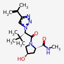 C=C(C)c1cn([C@H](C(=O)N2C[C@H](O)C[C@H]2C(=O)NC)C(C)(C)C)nn1